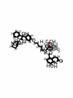 CC(C)(C)OC(=O)N(CCCCCOc1ccc(C(O)(C(=O)O[C@H]2CN3CCC2CC3)c2ccccc2)cc1)C[C@H](O[Si](C)(C)C(C)(C)C)c1ccc(O)c2[nH]c(=O)ccc12